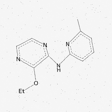 CCOc1nccnc1Nc1cccc(C)n1